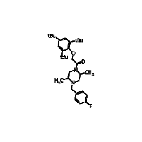 CC1CN(C(=O)COc2c(C(C)(C)C)cc(C(C)(C)C)cc2C(C)(C)C)C(C)CN1Cc1ccc(F)cc1